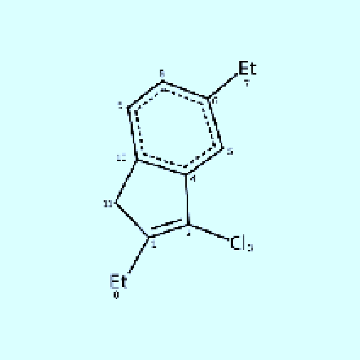 CCC1=C(Cl)c2cc(CC)ccc2C1